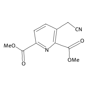 COC(=O)c1ccc(CC#N)c(C(=O)OC)n1